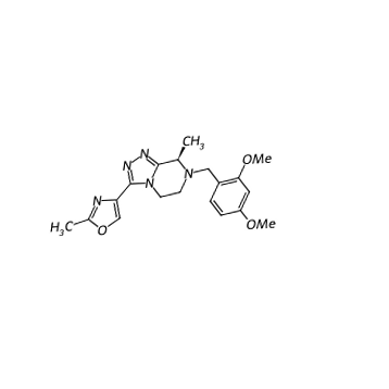 COc1ccc(CN2CCn3c(-c4coc(C)n4)nnc3[C@H]2C)c(OC)c1